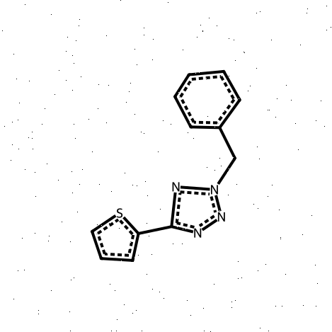 c1ccc(Cn2nnc(-c3cccs3)n2)cc1